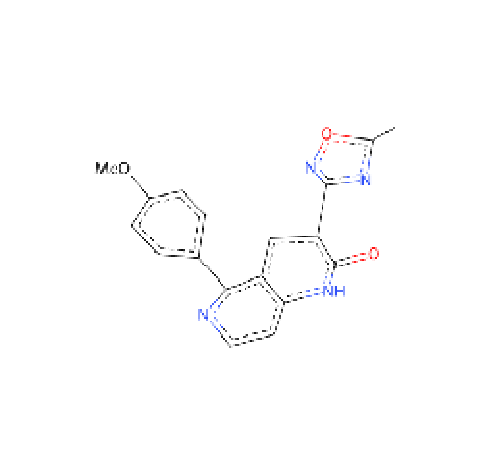 COc1ccc(-c2nccc3[nH]c(=O)c(-c4noc(C)n4)cc23)cc1